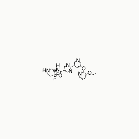 CCOc1cccnc1Oc1cncc(-c2ncc(C(=O)N[C@@H]3CNCCC3(F)F)cn2)c1